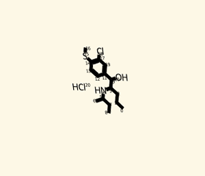 CCCC(NC(C)CC)C(O)c1ccc(SC)c(Cl)c1.Cl